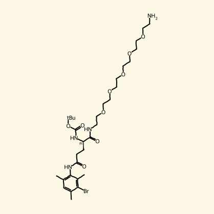 Cc1cc(C)c(NC(=O)CC[C@@H](NC(=O)OC(C)(C)C)C(=O)NCCOCCOCCOCCOCCOCCN)c(C)c1Br